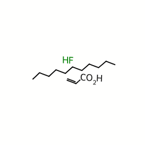 C=CC(=O)O.CCCCCCCCCCC.F